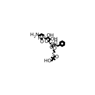 CC(C)(CO)C(=O)SCCOP(=O)(NCc1ccccc1)OC[C@H]1OC(n2ccc(N)nc2=O)C(O)[C@H]1O